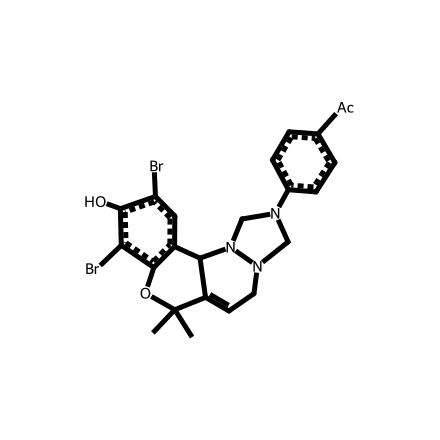 CC(=O)c1ccc(N2CN3CC=C4C(c5cc(Br)c(O)c(Br)c5OC4(C)C)N3C2)cc1